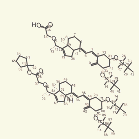 C=C1C(=CC=C2CCC[C@]3(C)C([C@H](C)OCC(=O)O)=CCC23)C[C@@H](O[Si](C)(C)C(C)(C)C)C[C@@H]1O[Si](C)(C)C(C)(C)C.C=C1C(=CC=C2CCC[C@]3(C)C([C@H](C)OCC(=O)OC4(C)CCCC4)=CC[C@@H]23)C[C@@H](O[Si](C)(C)C(C)(C)C)C[C@@H]1O[Si](C)(C)C(C)(C)C